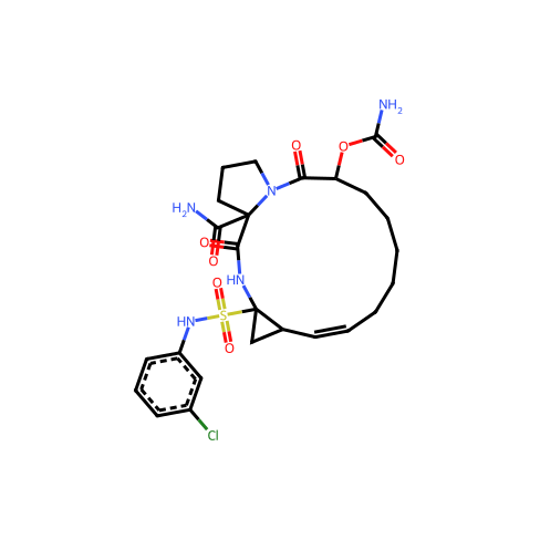 NC(=O)OC1CCCCCC=CC2CC2(S(=O)(=O)Nc2cccc(Cl)c2)NC(=O)C2(C(N)=O)CCCN2C1=O